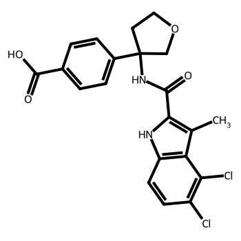 Cc1c(C(=O)NC2(c3ccc(C(=O)O)cc3)CCOC2)[nH]c2ccc(Cl)c(Cl)c12